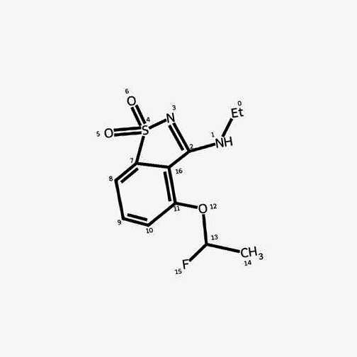 CCNC1=NS(=O)(=O)c2cccc(OC(C)F)c21